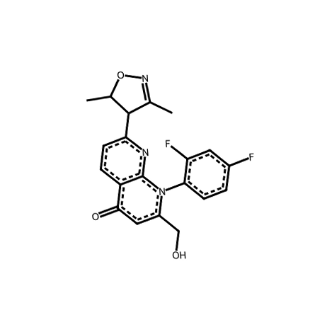 CC1=NOC(C)C1c1ccc2c(=O)cc(CO)n(-c3ccc(F)cc3F)c2n1